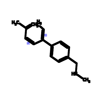 C=C(C)/C=C\C(=C/C)c1ccc(CNC)cc1